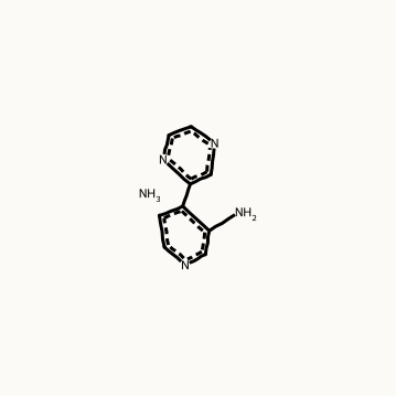 N.Nc1cnccc1-c1cnccn1